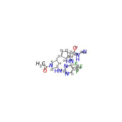 CC(=O)N1CCCC(Nc2ncc(C(F)(F)F)c(NC3C4C=CC(C4)C3C(=O)NC#N)n2)C1